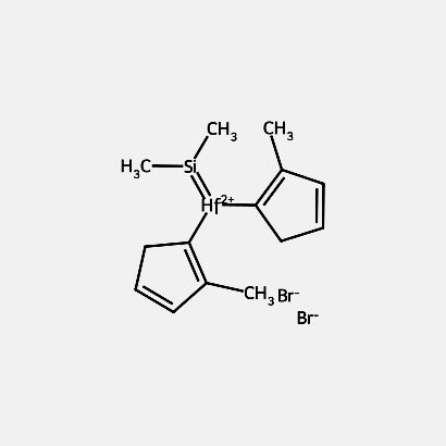 CC1=[C]([Hf+2]([C]2=C(C)C=CC2)=[Si](C)C)CC=C1.[Br-].[Br-]